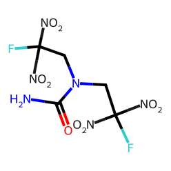 NC(=O)N(CC(F)([N+](=O)[O-])[N+](=O)[O-])CC(F)([N+](=O)[O-])[N+](=O)[O-]